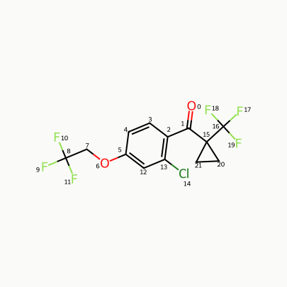 O=C(c1ccc(OCC(F)(F)F)cc1Cl)C1(C(F)(F)F)CC1